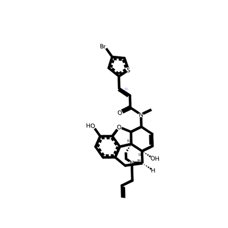 C=CCN1CC[C@]23c4c5ccc(O)c4OC2C(N(C)C(=O)/C=C/c2cc(Br)cs2)C=C[C@@]3(O)[C@H]1C5